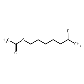 CC(=O)SCCCCCC(C)F